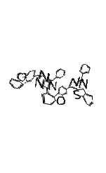 c1ccc(-c2nc(-c3ccc4oc5ccccc5c4c3)nc(-c3cccc4oc5cc(-c6nc(-c7ccccc7)nc7c6sc6ccccc67)ccc5c34)n2)cc1